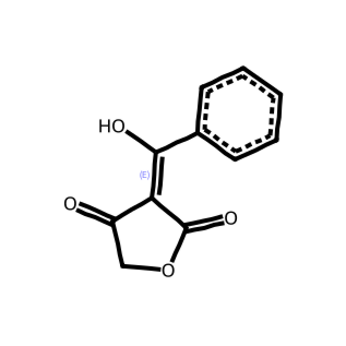 O=C1COC(=O)/C1=C(/O)c1ccccc1